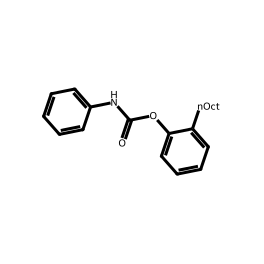 CCCCCCCCc1ccccc1OC(=O)Nc1ccccc1